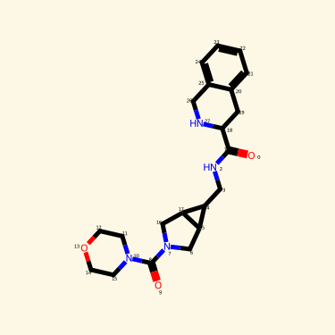 O=C(NCC1C2CN(C(=O)N3CCOCC3)CC12)C1Cc2ccccc2CN1